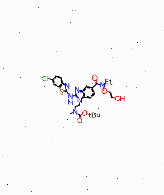 CCN(OCCO)C(=O)c1ccc2c(c1)nc(Nc1nc3ccc(Cl)cc3s1)n2CCN(C)C(=O)OC(C)(C)C